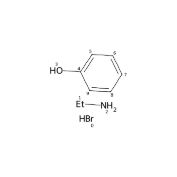 Br.CCN.Oc1ccccc1